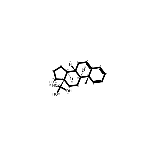 C[C@]12C=CC=CC1=CC[C@@H]1[C@@H]2CC[C@]2(C(O)(O)O)C(O)CC[C@@H]12